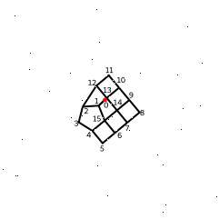 CC12C3CC4CC5C6CC7C8CC3C81C67C452